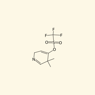 CC1(C)C=NCC=C1OS(=O)(=O)C(F)(F)F